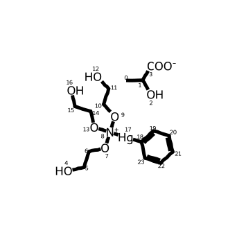 CC(O)C(=O)[O-].OCCO[N+](OCCO)(OCCO)[Hg][c]1ccccc1